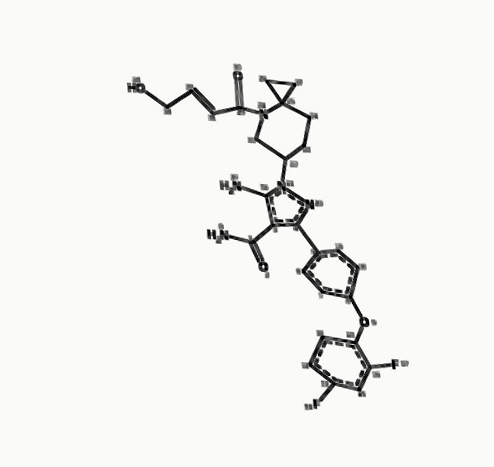 NC(=O)c1c(-c2ccc(Oc3ccc(F)cc3F)cc2)nn(C2CCC3(CC3)N(C(=O)C=CCO)C2)c1N